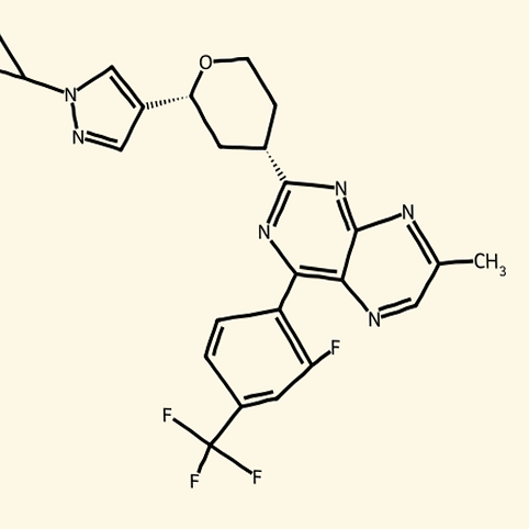 Cc1cnc2c(-c3ccc(C(F)(F)F)cc3F)nc([C@H]3CCO[C@@H](c4cnn(C5CC5)c4)C3)nc2n1